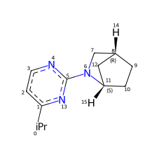 CC(C)c1ccnc(N2C[C@@H]3CC[C@H]2C3)n1